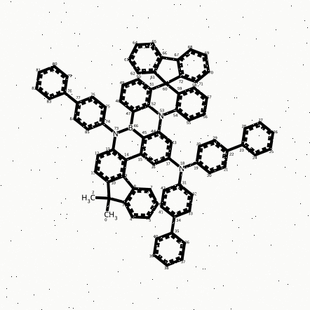 CC1(C)c2ccccc2-c2c1ccc1c2-c2cc(N(c3ccc(-c4ccccc4)cc3)c3ccc(-c4ccccc4)cc3)cc3c2B(c2cccc4c2N3c2ccccc2C42c3ccccc3-c3ccccc32)N1c1ccc(-c2ccccc2)cc1